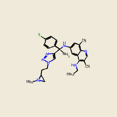 B[C@](Nc1cc(C#N)c2ncc(C#N)c(NCC(C)(C)C)c2c1)(c1ccc(F)cc1)c1cn(CCC2CN2C(C)(C)C)nn1